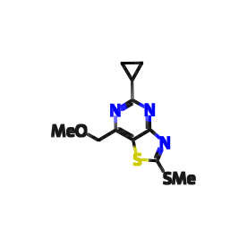 COCc1nc(C2CC2)nc2nc(SC)sc12